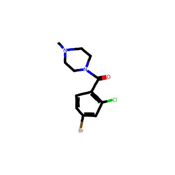 CN1CCN(C(=O)c2ccc(Br)cc2Cl)CC1